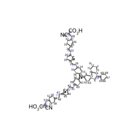 Cc1ccc(/C(=C\c2ccc(N(c3ccc(/C=C/c4ccc(/C=C/c5ccc(/C=C(\C#N)C(=O)O)cc5)s4)cc3)c3ccc(/C=C/c4ccc(/C=C/c5ccc(/C=C(\C#N)C(=O)O)cc5)s4)cc3)cc2)c2ccccc2)cc1